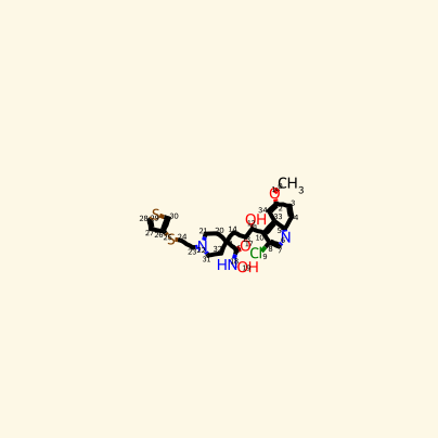 COc1ccc2ncc(Cl)c([C@H](O)CCC3(C(=O)NO)CCN(CCSc4ccsc4)CC3)c2c1